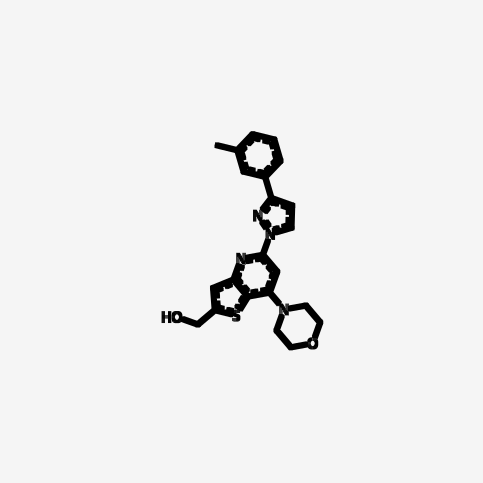 Cc1cccc(-c2ccn(-c3cc(N4CCOCC4)c4sc(CO)cc4n3)n2)c1